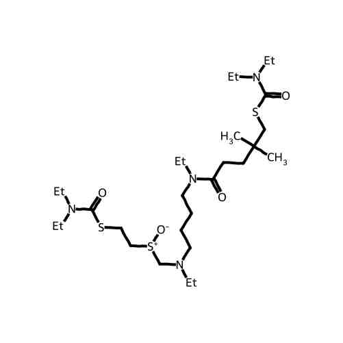 CCN(CCCCN(CC)C(=O)CCC(C)(C)CSC(=O)N(CC)CC)C[S+]([O-])CCSC(=O)N(CC)CC